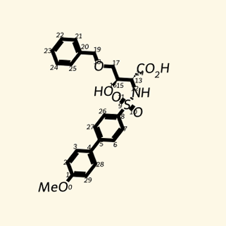 COc1ccc(-c2ccc(S(=O)(=O)N[C@@H](C(=O)O)[C@@H](O)COCc3ccccc3)cc2)cc1